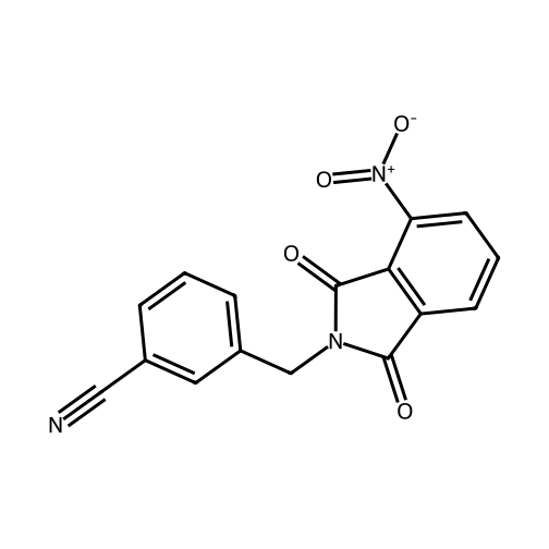 N#Cc1cccc(CN2C(=O)c3cccc([N+](=O)[O-])c3C2=O)c1